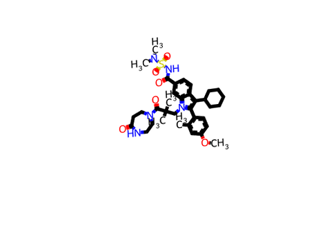 COc1ccc(-c2c(C3CCCCC3)c3ccc(C(=O)NS(=O)(=O)N(C)C)cc3n2CC(C)(C)C(=O)N2CCNC(=O)CC2)c(C)c1